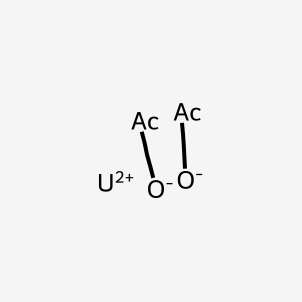 CC(=O)[O-].CC(=O)[O-].[U+2]